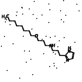 CCCCCCCCOCCCNCCCc1ncc[nH]1